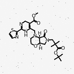 COC(=O)C1=C(CN2CCO[C@H]3CN(CC(C)(C)C(=O)OC(C)(C)C)C(=O)[C@H]32)NC(c2nccs2)=NC1